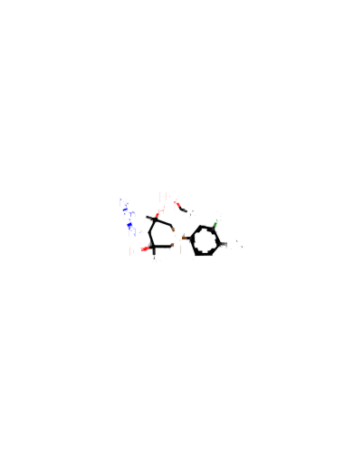 CC(=O)C(O)[C@@H]1[SH](c2ccc(C#N)c(Br)c2)CC(O)(C(C)=O)[C@H](N=[N+]=[N-])C1(O)C(C)=O